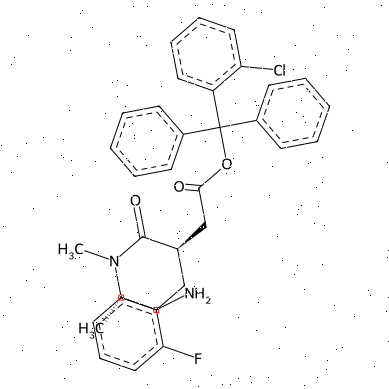 C[C@@H](CN)N(C)C(=O)[C@@H](CC(=O)OC(c1ccccc1)(c1ccccc1)c1ccccc1Cl)Cc1ccccc1F